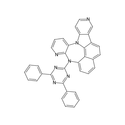 c1ccc(-c2nc(-c3ccccc3)nc(-n3c4cccc5ccc6c7cnccc7n(c7cccnc73)c6c54)n2)cc1